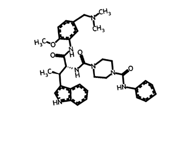 COc1ccc(CN(C)C)cc1NC(=O)[C@H](NC(=O)N1CCN(C(=O)Nc2ccccc2)CC1)[C@H](C)c1c[nH]c2ccccc12